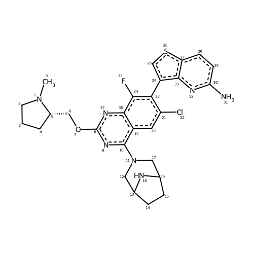 CN1CCC[C@H]1COc1nc(N2CC3CCC(C2)N3)c2cc(Cl)c(-c3csc4ccc(N)nc34)c(F)c2n1